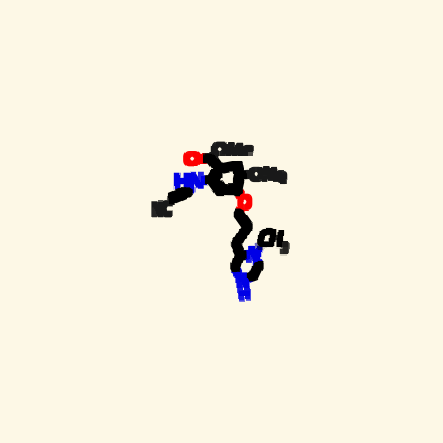 COC(=O)c1cc(OC)c(OCCCC2CNCCN2C)cc1NC=CC#N